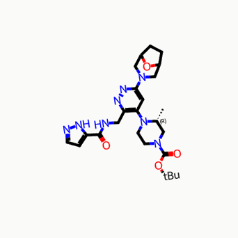 C[C@@H]1CN(C(=O)OC(C)(C)C)CCN1c1cc(N2CC3CCC(C2)O3)nnc1CNC(=O)c1ccn[nH]1